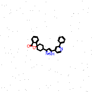 O=C1OC2(CCC(c3cc(-c4ccnc(-c5ccccc5)c4)[nH]n3)CC2)c2ccccc21